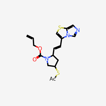 C=CCOC(=O)N1CC(SC(C)=O)CC1C=Cc1csc2cncn12